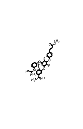 COC(=O)C=Cc1ccc(Oc2c(F)c(Oc3cccc(NC(=N)N)c3)nc(Oc3cc(C(=N)N)ccc3O)c2F)cc1